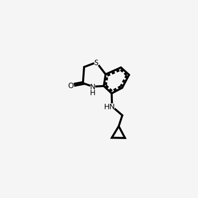 O=C1CSc2cccc(NCC3CC3)c2N1